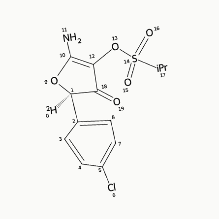 [2H][C@]1(c2ccc(Cl)cc2)OC(N)=C(OS(=O)(=O)C(C)C)C1=O